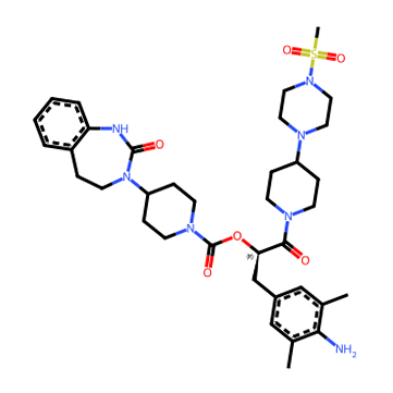 Cc1cc(C[C@@H](OC(=O)N2CCC(N3CCc4ccccc4NC3=O)CC2)C(=O)N2CCC(N3CCN(S(C)(=O)=O)CC3)CC2)cc(C)c1N